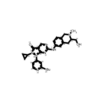 CN1Cc2ccc(Nc3ncc4c(=O)n(C5CC5)n(-c5ccnc(C(C)(C)C)c5)c4n3)cc2CC1CO